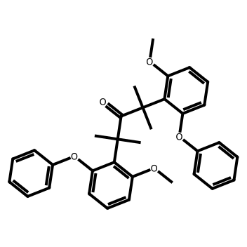 COc1cccc(Oc2ccccc2)c1C(C)(C)C(=O)C(C)(C)c1c(OC)cccc1Oc1ccccc1